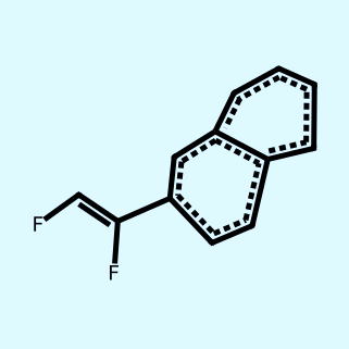 FC=C(F)c1ccc2ccccc2c1